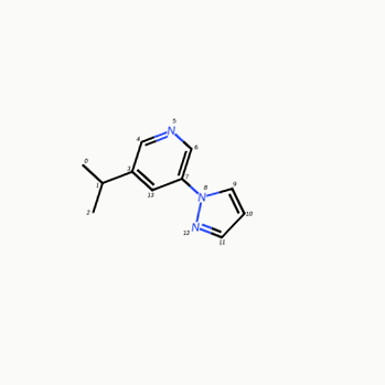 CC(C)c1cncc(-n2cccn2)c1